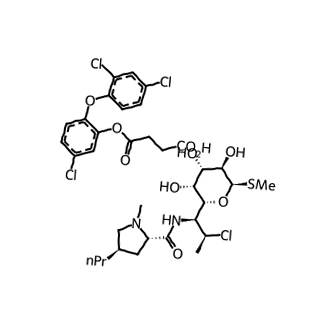 CCC[C@@H]1C[C@@H](C(=O)N[C@@H]([C@H]2O[C@H](SC)[C@H](O)[C@@H](O)[C@H]2O)[C@H](C)Cl)N(C)C1.O=C(O)CCC(=O)Oc1cc(Cl)ccc1Oc1ccc(Cl)cc1Cl